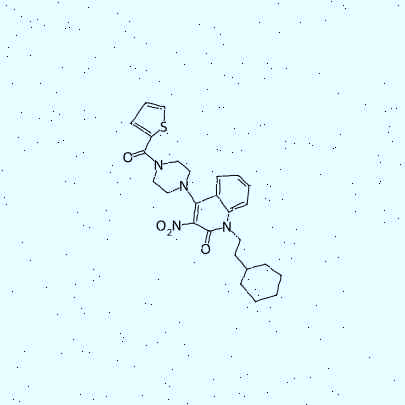 O=C(c1cccs1)N1CCN(c2c([N+](=O)[O-])c(=O)n(CCC3CCCCC3)c3ccccc23)CC1